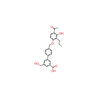 CCCc1c(OCc2ccc(-c3cc(CO)cc(C(=O)O)c3)cc2)ccc(C(C)=O)c1O